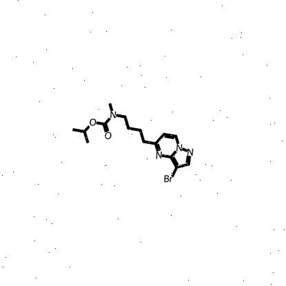 CC(C)OC(=O)N(C)CCCCc1ccn2ncc(Br)c2n1